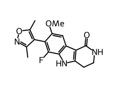 COc1cc2c3c([nH]c2c(F)c1-c1c(C)noc1C)CCNC3=O